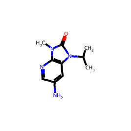 CC(C)n1c(=O)n(C)c2ncc(N)cc21